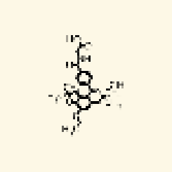 CCOc1cc2c(c3c1OC(C)(C)C3)C(c1ccc(C(=O)NCC(=O)O)cc1)=NC(C)(C)C2.Cl